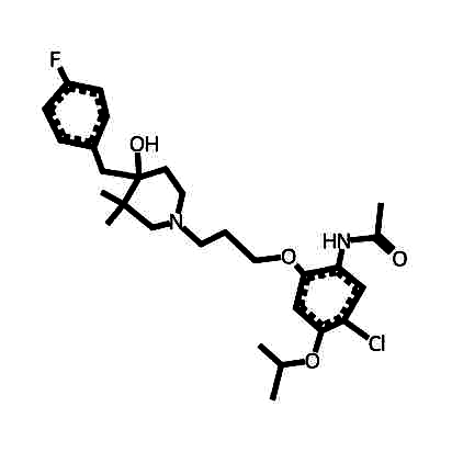 CC(=O)Nc1cc(Cl)c(OC(C)C)cc1OCCCN1CCC(O)(Cc2ccc(F)cc2)C(C)(C)C1